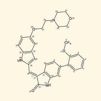 COc1ccccc1-c1ccc2c(c1)NC(=O)/C2=C/c1cc2cc(OCCN3CCOCC3)ccc2[nH]1